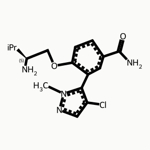 CC(C)[C@H](N)COc1ccc(C(N)=O)cc1-c1c(Cl)cnn1C